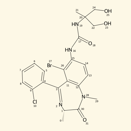 C[C@@H]1N=C(c2ccccc2Cl)c2c(ccc(NC(=O)NC(C)(CO)CO)c2Br)N(C)C1=O